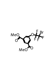 COC(=O)c1cc(OC(F)(F)C(F)(F)Br)cc(C(=O)OC)c1